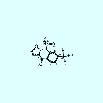 O=C(c1ccon1)c1ccc(C(F)(F)F)cc1C[SH](=O)=O